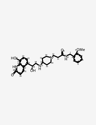 COc1ccccc1CNC(=O)CCN1CCC(NC[C@@H](O)c2ccc(O)c3[nH]c(=O)ccc23)CC1